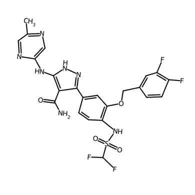 Cc1cnc(Nc2[nH]nc(-c3ccc(NS(=O)(=O)C(F)F)c(OCc4ccc(F)c(F)c4)c3)c2C(N)=O)cn1